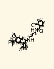 COc1cc2nc(NCCCCNC(=O)c3ccccc3Cl)c3nnc(C)n3c2cc1C(F)(F)F